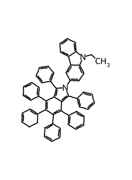 CCn1c2ccccc2c2cc(-n3c(-c4ccccc4)c4c(-c5ccccc5)c(C5=CC=CCC5)c(-c5ccccc5)c(-c5ccccc5)c4c3-c3ccccc3)ccc21